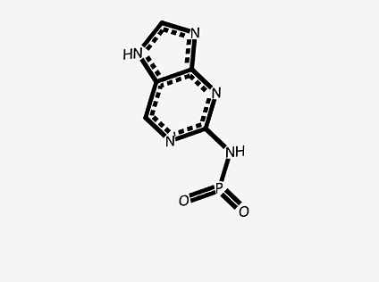 O=P(=O)Nc1ncc2[nH]cnc2n1